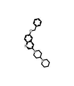 c1ccc(COc2ccc3ncc(N4CCC(N5CCCCC5)CC4)cc3c2)cc1